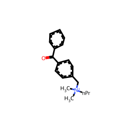 CCC[N+](C)(C)Cc1ccc(C(=O)c2ccccc2)cc1